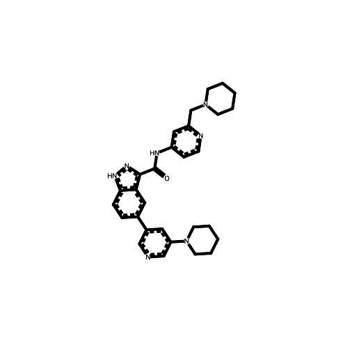 O=C(Nc1ccnc(CN2CCCCC2)c1)c1n[nH]c2ccc(-c3cncc(N4CCCCC4)c3)cc12